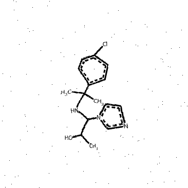 CC(O)C(NC(C)(C)c1ccc(Cl)cc1)n1ccnc1